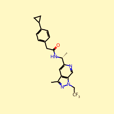 Cc1nn(CC(F)(F)F)c2cnc([C@@H](C)NC(=O)Cc3ccc(C4CC4)cc3)cc12